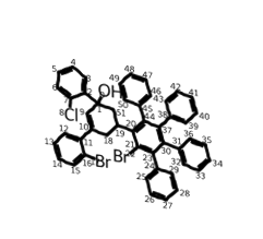 OC1(c2ccccc2Cl)C=C(c2ccccc2Br)CC(c2c(Br)c(-c3ccccc3)c(-c3ccccc3)c(-c3ccccc3)c2-c2ccccc2)C1